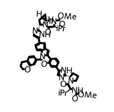 COC(=O)N[C@H](C(=O)N1CCC[C@H]1c1ncc(-c2ccc3c(c2)OC(c2ccc4c(c2)OCCC4)n2c-3cc3cc(-c4cnc([C@@H]5C[C@H]6C[C@H]6N5C(=O)[C@@H](NC(=O)OC)C(C)C)[nH]4)ccc32)[nH]1)C(C)C